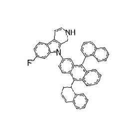 Fc1ccc2c3c(n(-c4ccc5c(C6CC=Cc7ccccc76)c6ccccc6c(-c6cccc7ccccc67)c5c4)c2c1)CNC=C3